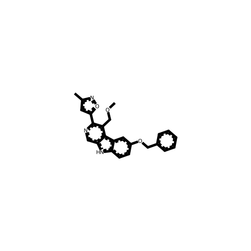 COCc1c(-c2cc(C)no2)ncc2[nH]c3ccc(OCc4ccccc4)cc3c12